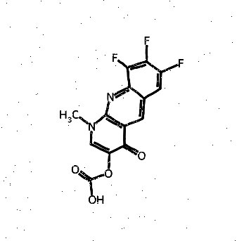 Cn1cc(OC(=O)O)c(=O)c2cc3cc(F)c(F)c(F)c3nc21